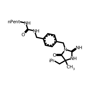 CCCCCNC(=O)NCc1ccc(CN2C(=N)NC(C)(CC(C)C)C2=O)cc1